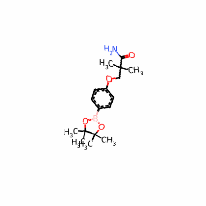 CC(C)(COc1ccc(B2OC(C)(C)C(C)(C)O2)cc1)C(N)=O